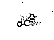 COC(=O)C12NCCc3c([nH]c4ccccc34)C1=Nc1c(C)cc(C)cc12